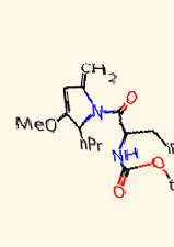 C=C1C=C(OC)C(CCC)N1C(=O)C(CC(C)C)NC(=O)OC(C)(C)C